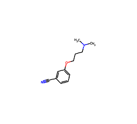 CN(C)CCCOc1cccc(C#N)c1